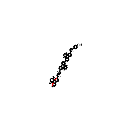 CCC1(CC)CCCC(CC)(CC)C12c1cc(C)ccc1-c1ccc(-c3cc4sc(-c5ccc6c(c5)C5(c7cc(-c8ccc9c(c8)C8(c%10cc(-c%11ccc(-c%12ccc(O)cc%12)s%11)ccc%10-9)C(C)(C)CCC8(C)C)ccc7-6)C(C)(C)CCC5(C)C)cc4s3)cc12